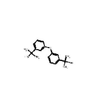 CC(C)(O)c1cccc(Oc2cccc(C(C)(C)O)c2)c1